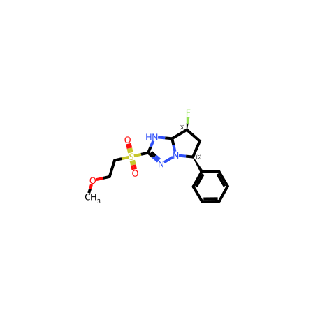 COCCS(=O)(=O)C1=NN2C(N1)[C@@H](F)C[C@H]2c1ccccc1